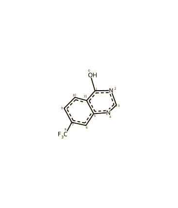 Oc1n[c]nc2cc(C(F)(F)F)ccc12